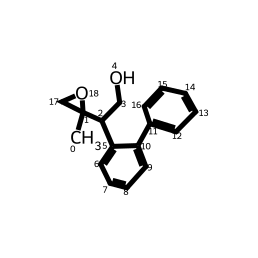 CC1(C(CO)c2ccccc2-c2ccccc2)CO1